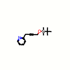 CC(C)(C)[Si](C)(C)OCC#CCc1ccccn1